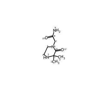 CC1(C)NCCN(CC(N)=O)C1=O